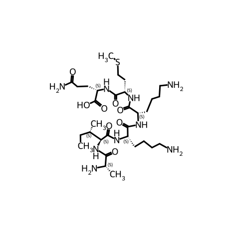 CC[C@H](C)[C@H](NC(=O)[C@H](C)N)C(=O)N[C@@H](CCCCN)C(=O)N[C@@H](CCCCN)C(=O)N[C@@H](CCSC)C(=O)N[C@@H](CCC(N)=O)C(=O)O